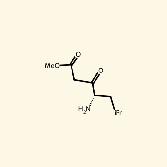 COC(=O)CC(=O)[C@@H](N)CC(C)C